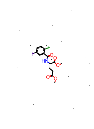 COC(=O)CC[C@H](NC(=O)c1cc(I)ccc1F)C(=O)OC